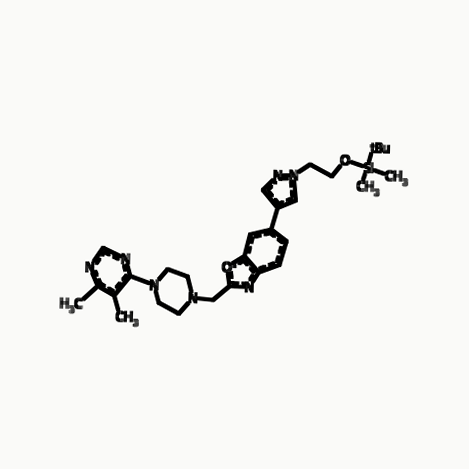 Cc1ncnc(N2CCN(Cc3nc4ccc(-c5cnn(CCO[Si](C)(C)C(C)(C)C)c5)cc4o3)CC2)c1C